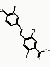 Cc1cc(OCc2cc(F)c(C(=O)O)cc2Cl)ccc1Cl